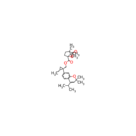 CC(C)C1=CC(C)(C)Oc2cc([C@@]3(COC(=O)C45CCC(C)(C(=O)O4)C5(C)C)C[C@@H]3C)ccc21